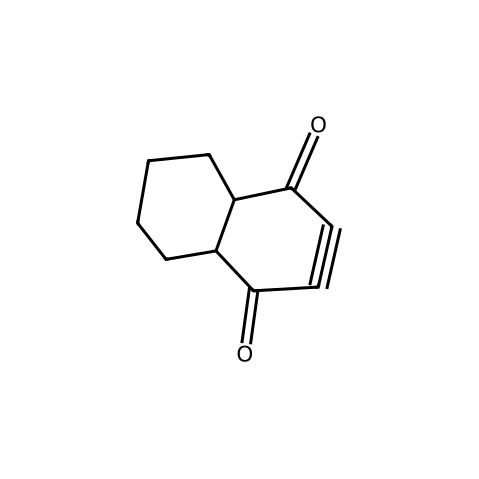 O=C1C#CC(=O)C2CCCCC12